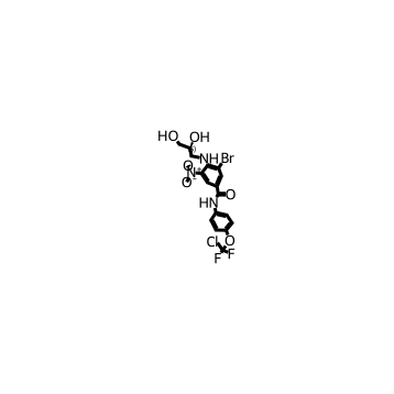 O=C(Nc1ccc(OC(F)(F)Cl)cc1)c1cc(Br)c(NC[C@H](O)CO)c([N+](=O)[O-])c1